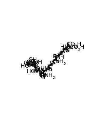 Nc1ncnc2c1c(CNC(=O)CCSSCC(N)C(=O)NCCCCCC(=O)NC(CC(=O)O)C(=O)O)cn2C1CC(O)C(COP(=O)(O)OP(=O)(O)OP(=O)(O)O)O1